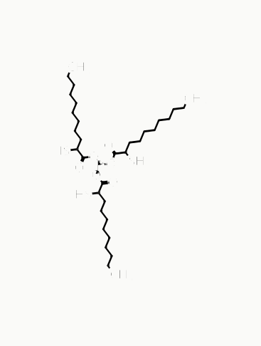 CCCCCCCCCC(S)C(=O)OP(OC(=O)C(S)CCCCCCCCC)OC(=O)C(S)CCCCCCCCC